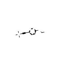 BCOc1ccc(C#C[Si](C)(C)C)nn1